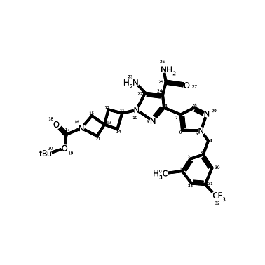 Cc1cc(Cn2cc(-c3nn(C4CC5(C4)CN(C(=O)OC(C)(C)C)C5)c(N)c3C(N)=O)cn2)cc(C(F)(F)F)c1